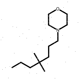 CCCC(C)(C)CCCN1CCOCC1